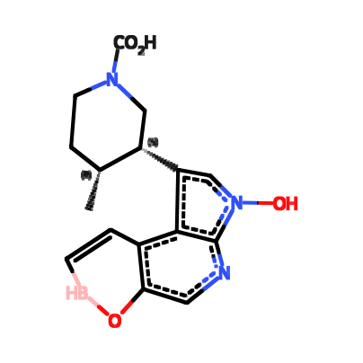 C[C@@H]1CCN(C(=O)O)C[C@@H]1c1cn(O)c2ncc3c(c12)C=CBO3